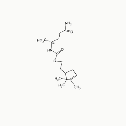 CC1=CCC(CCOC(=O)N[C@@H](CCC(N)=O)C(=O)O)C1(C)C